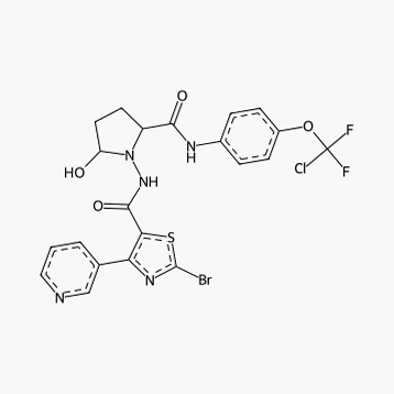 O=C(NN1C(O)CCC1C(=O)Nc1ccc(OC(F)(F)Cl)cc1)c1sc(Br)nc1-c1cccnc1